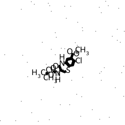 COC(=O)c1cc2c(cc1Cl)SC[C@H](NC(=O)OC(C)(C)C)C(=O)N2